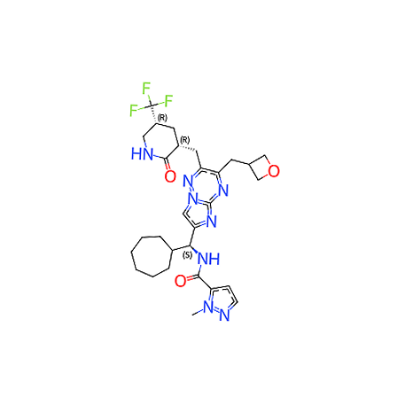 Cn1nccc1C(=O)N[C@H](c1cn2nc(C[C@H]3C[C@@H](C(F)(F)F)CNC3=O)c(CC3COC3)nc2n1)C1CCCCCC1